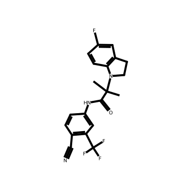 CC(C)(C(=O)Nc1ccc(C#N)c(C(F)(F)F)c1)N1CCc2cc(F)ccc21